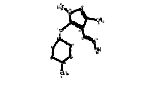 Cc1nn(C)c(O[C@H]2CC[C@H](C)CC2)c1/C=N/O